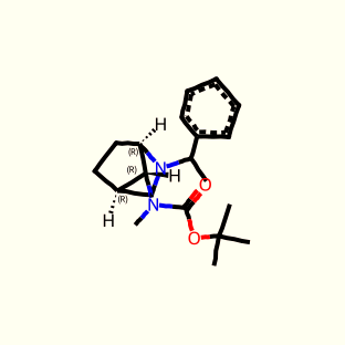 CC(c1ccccc1)N1C[C@H]2CC[C@@H]1[C@@H]2N(C)C(=O)OC(C)(C)C